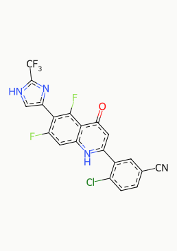 N#Cc1ccc(Cl)c(-c2cc(=O)c3c(F)c(-c4c[nH]c(C(F)(F)F)n4)c(F)cc3[nH]2)c1